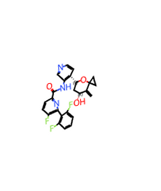 C=C1[C@H](O)C[C@H](c2ccncc2NC(=O)c2ccc(F)c(-c3c(F)cccc3F)n2)OC12CC2